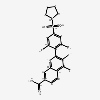 Cc1c(F)c(-c2c(F)cc(S(=O)(=O)N3CCCC3)cc2F)nc2cc(C(=O)O)ccc12